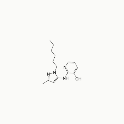 CCCCCCn1nc(C)cc1Nc1ncccc1O